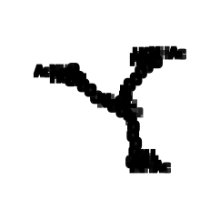 CC(=O)N[C@H]1[C@@H]2OC[C@](COCCOCCOCCOCCn3cc(COCC(N)(COCc4cn(CCOCCOCCOCCOC[C@@]56COC(O5)[C@H](NC(C)=O)[C@@H](O)[C@H]6O)nn4)COCc4cn(CCOCCOCCOCCOC[C@@]56COC(O5)[C@H](NC(C)=O)[C@@H](O)[C@H]6O)nn4)nn3)(O2)[C@H](O)[C@@H]1O